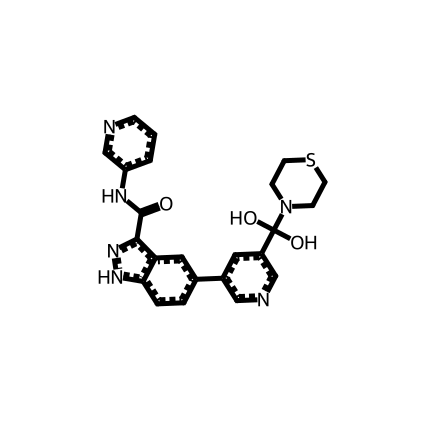 O=C(Nc1cccnc1)c1n[nH]c2ccc(-c3cncc(C(O)(O)N4CCSCC4)c3)cc12